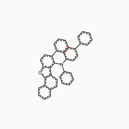 c1ccc(-c2ccc(N(c3ccccc3)c3c(-c4ccccc4)ccc4oc5c6ccccc6ccc5c34)cc2)cc1